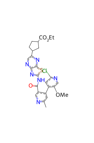 CCOC(=O)C1CCC(c2cnc3nc(NC(=O)c4cnc(C)cc4-c4cc(Cl)ncc4OC)sc3n2)C1